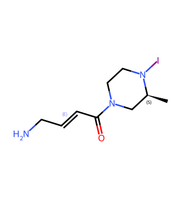 C[C@H]1CN(C(=O)/C=C/CN)CCN1I